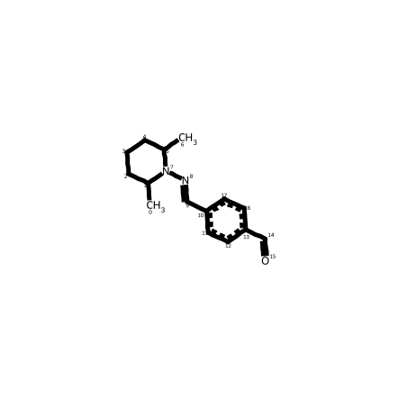 CC1CCCC(C)N1N=Cc1ccc(C=O)cc1